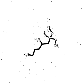 CO[Si](CC(N)CCCN)(OC)OC